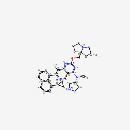 CN(c1nc(OC[C@@]23CCCN2C[C@H](F)C3)nc2c(F)c(-c3cccc4cccc(C5CC5)c34)ncc12)[C@@H]1CCNC1